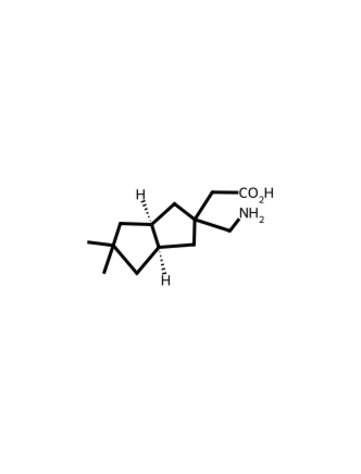 CC1(C)C[C@@H]2CC(CN)(CC(=O)O)C[C@@H]2C1